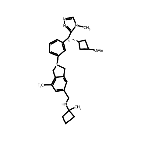 COC1CC([C@H](c2cccc(N3Cc4cc(CNC5(C)CCC5)cc(C(F)(F)F)c4C3)c2)c2nncn2C)C1